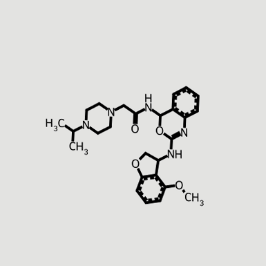 COc1cccc2c1C(NC1=Nc3ccccc3C(NC(=O)CN3CCN(C(C)C)CC3)O1)CO2